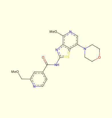 COCc1cc(C(=O)Nc2nc3c(OC)ncc(N4CCOCC4)c3s2)ccn1